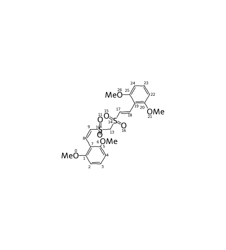 COc1cccc(OC)c1/C=C\S(=O)(=O)CS(=O)(=O)/C=C/c1c(OC)cccc1OC